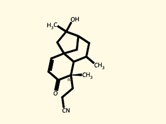 CC1CC2CC3(C=CC(=O)[C@@](C)(CCC#N)C13)CC2(C)O